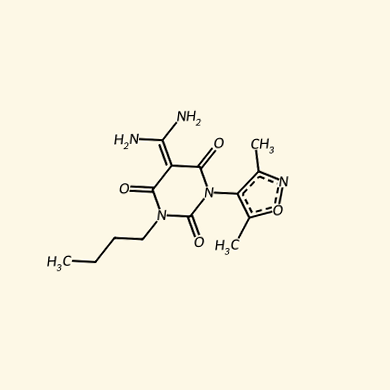 CCCCN1C(=O)C(=C(N)N)C(=O)N(c2c(C)noc2C)C1=O